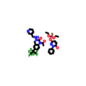 CC(=O)N1C(=O)N(NCc2cccnc2)Cc2cc(C(F)(C(F)(F)F)C(F)(F)F)ccc21.CCOP(=S)(OCC)Oc1ccc(=O)n(-c2ccccc2)n1